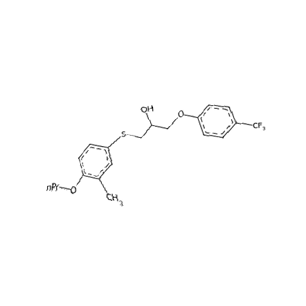 CCCOc1ccc(SCC(O)COc2ccc(C(F)(F)F)cc2)cc1C